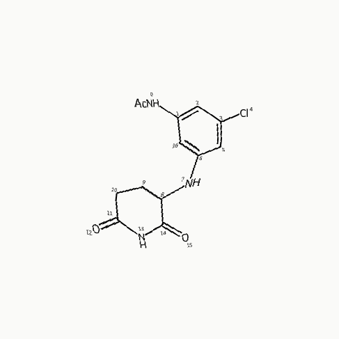 CC(=O)Nc1cc(Cl)cc(NC2CCC(=O)NC2=O)c1